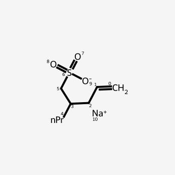 C=CCC(CCC)CS(=O)(=O)[O-].[Na+]